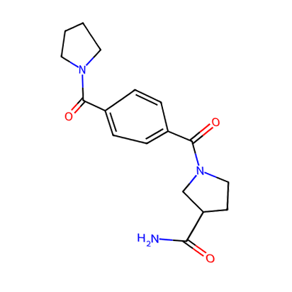 NC(=O)C1CCN(C(=O)c2ccc(C(=O)N3CCCC3)cc2)C1